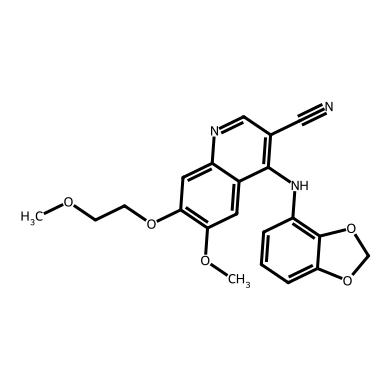 COCCOc1cc2ncc(C#N)c(Nc3cccc4c3OCO4)c2cc1OC